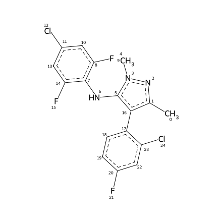 Cc1nn(C)c(Nc2c(F)cc(Cl)cc2F)c1-c1ccc(F)cc1Cl